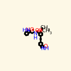 CC(C)Oc1ccc(C#Cc2ccc3c(c2)C(=O)NC3)cc1C(=O)N[C@@H](CO)Cc1c[nH]c2ccccc12